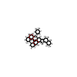 c1ccc(-c2ccccc2N(c2ccccc2)c2cc3sc4c5ccccc5ccc4c3cc2N(c2ccccc2)c2ccccc2-c2ccccc2)cc1